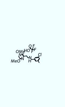 COc1cnc(OC)c(CCNCc2cc(C)cc(Cl)c2)n1.O=C(O)C(F)(F)F